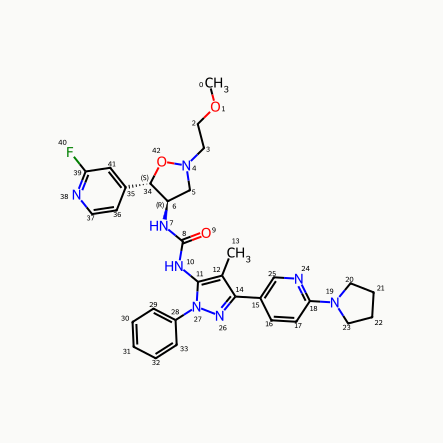 COCCN1C[C@@H](NC(=O)Nc2c(C)c(-c3ccc(N4CCCC4)nc3)nn2-c2ccccc2)[C@H](c2ccnc(F)c2)O1